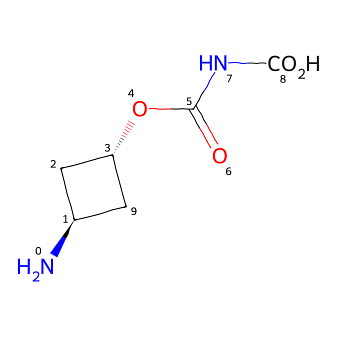 N[C@H]1C[C@H](OC(=O)NC(=O)O)C1